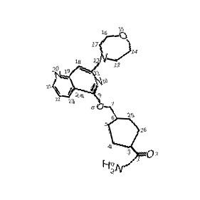 NC(=O)C1CCC(COc2nc(N3CCOCC3)cc3ncccc23)CC1